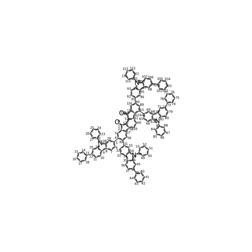 O=c1c2cc(-c3ccc4c5ccc(-c6ccccc6)cc5n(-c5ccccc5)c4c3)c(-c3ccc4c5ccc(-c6ccccc6)cc5n(-c5ccccc5)c4c3)cc2c2ccc3c4c(-c5ccc6c(c5)c5cc(-c7ccccc7)ccc5n6-c5ccccc5)cc(-c5ccc6c(c5)c5cc(-c7ccccc7)ccc5n6-c5ccccc5)cc4c(=O)c3c12